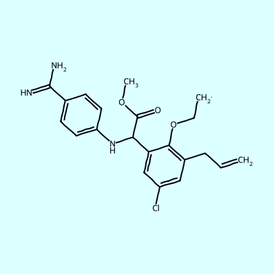 [CH2]COc1c(CC=C)cc(Cl)cc1C(Nc1ccc(C(=N)N)cc1)C(=O)OC